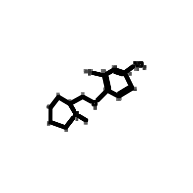 CN1CCCCC1COc1ccc([N+](=O)[O-])cc1F